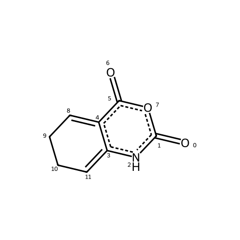 O=c1[nH]c2c(c(=O)o1)=CCCC=2